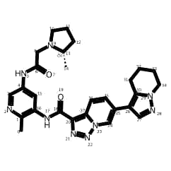 Cc1ncc(NC(=O)CN2CCC[C@@H]2C)cc1NC(=O)c1nnn2cc(-c3cnn4c3CCCC4)ccc12